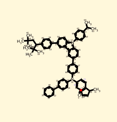 C=C/C=C(\C=C/C1=CC=CC1C)N(c1ccc(-c2ccccc2)cc1)c1ccc(-c2ccc3c(c2)c2cc(-c4ccc(C(CC(C)(C)C)C(C)(C)C)cc4)ccc2n3-c2ccc(C(C)C)cc2)cc1